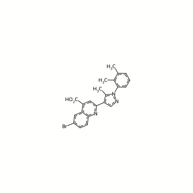 Cc1cccc(-n2ncc(-c3cc(C(=O)O)c4cc(Br)ccc4n3)c2C)c1C